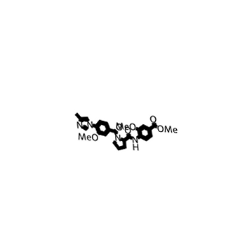 COC(=O)c1ccc(NC(=O)C2CCCN2C(=O)c2ccc(-n3cnc(C)c3)c(OC)c2)c(OC)c1